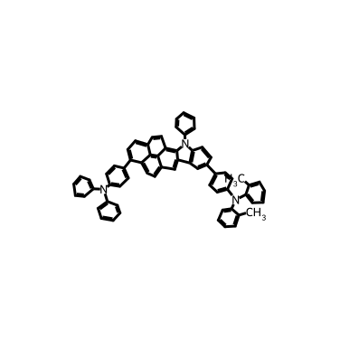 Cc1ccccc1N(c1ccc(-c2ccc3c(c2)c2cc4ccc5c(-c6ccc(N(c7ccccc7)c7ccccc7)cc6)ccc6ccc(c4c65)c2n3-c2ccccc2)cc1)c1ccccc1C